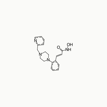 O=C(/C=C/c1ccccc1N1CCN(Cc2ccccn2)CC1)NO